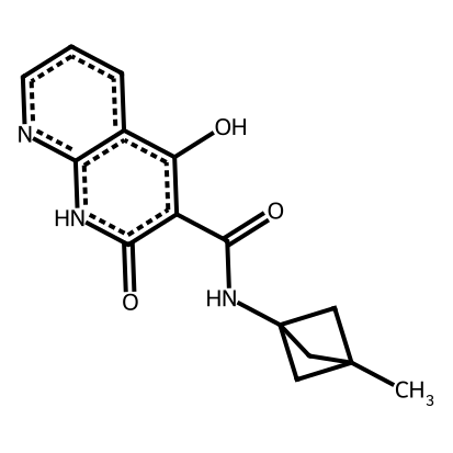 CC12CC(NC(=O)c3c(O)c4cccnc4[nH]c3=O)(C1)C2